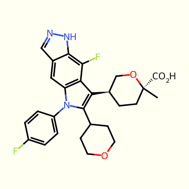 C[C@@]1(C(=O)O)CC[C@@H](c2c(C3CCOCC3)n(-c3ccc(F)cc3)c3cc4cn[nH]c4c(F)c23)CO1